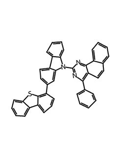 c1ccc(-c2nc(-n3c4ccccc4c4ccc(-c5cccc6c5sc5ccccc56)cc43)nc3c2ccc2ccccc23)cc1